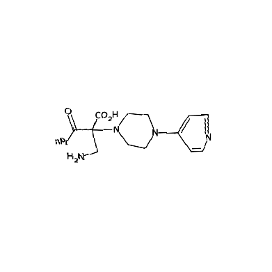 CCCC(=O)C(CN)(C(=O)O)N1CCN(c2ccncc2)CC1